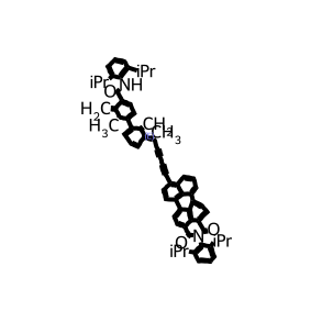 C=C1C(C(=O)Nc2c(C(C)C)cccc2C(C)C)=CC=C(c2ccc/c(=C(/C)C#CC#Cc3ccc4c5ccc6c7c(ccc(c8cccc3c84)c75)C(=O)N(c3c(C(C)C)cccc3C(C)C)C6=O)c2=C)C1C